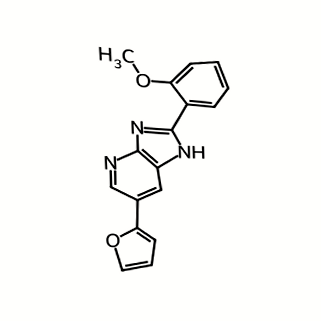 COc1ccccc1-c1nc2ncc(-c3ccco3)cc2[nH]1